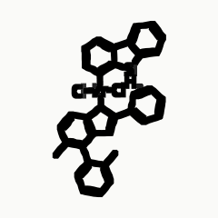 Cc1ccccc1-c1c(C)ccc2c1C=C(c1ccccc1)[CH]2[Zr]([Cl])([Cl])[c]1cccc2c1[SiH2]c1ccccc1-2